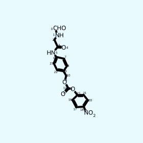 O=CNCC(=O)Nc1ccc(COC(=O)Oc2ccc([N+](=O)[O-])cc2)cc1